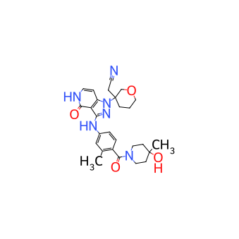 Cc1cc(Nc2nn(C3(CC#N)CCCOC3)c3cc[nH]c(=O)c23)ccc1C(=O)N1CCC(C)(O)CC1